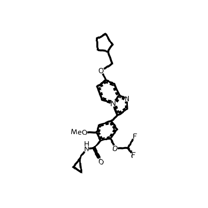 COc1cc(-c2cnc3cc(OCC4CCCC4)ccn23)cc(OC(F)F)c1C(=O)NC1CC1